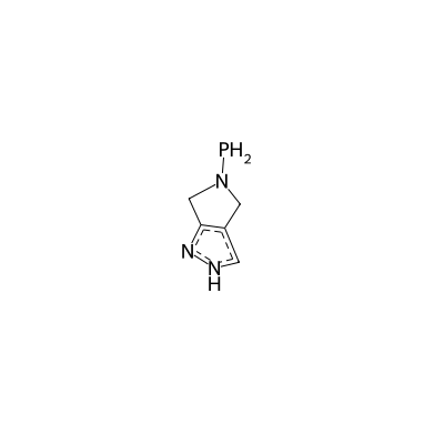 PN1Cc2c[nH]nc2C1